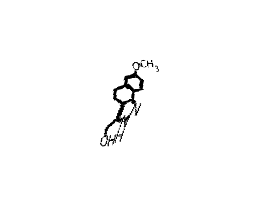 COc1ccc2c(c1)CCc1c-2n[nH]c1CO